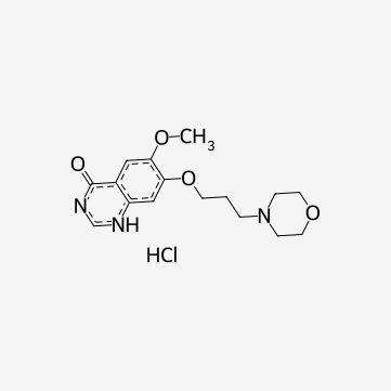 COc1cc2c(=O)nc[nH]c2cc1OCCCN1CCOCC1.Cl